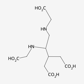 O=C(O)CNCC(NCC(=O)O)C(CC(=O)O)CC(=O)O